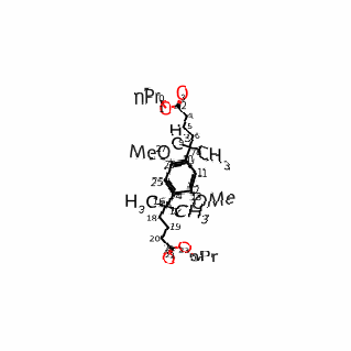 CCCOC(=O)CCCC(C)(C)c1cc(OC)c(C(C)(C)CCCC(=O)OCCC)cc1OC